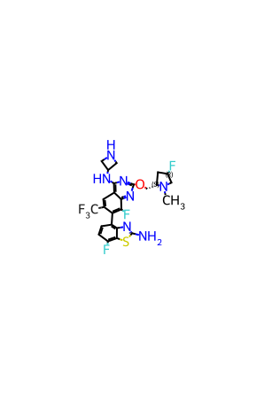 CN1C[C@H](F)C[C@H]1COc1nc(NC2CNC2)c2cc(C(F)(F)F)c(-c3ccc(F)c4sc(N)nc34)c(F)c2n1